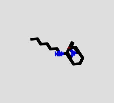 C=CN1C2=CCC(NCCCCCC)=C1CCC2